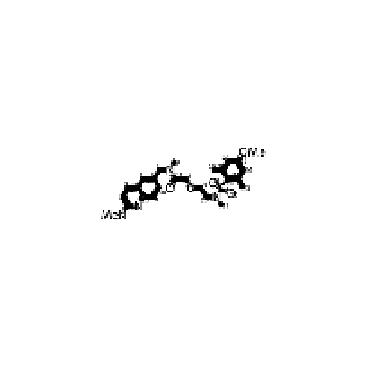 CNc1ccc2cc(CN(C)C(=O)COCCN(C)S(=O)(=O)c3c(C)cc(OC)cc3C)ccc2n1